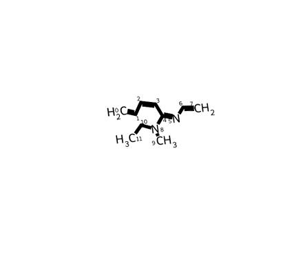 C=C/C=C\C(=N/C=C)N(C)CC